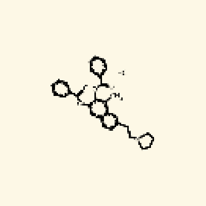 Cc1c(OC(=O)c2ccccc2)c(OC(=O)c2ccccc2)cc2ccc(CCN3CCCC3)cc12.Cl